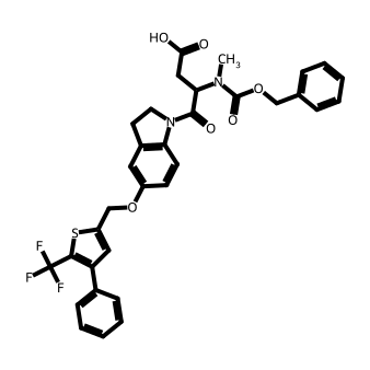 CN(C(=O)OCc1ccccc1)C(CC(=O)O)C(=O)N1CCc2cc(OCc3cc(-c4ccccc4)c(C(F)(F)F)s3)ccc21